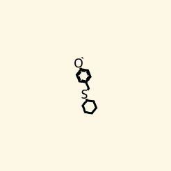 COc1ccc(CSC2CCCCC2)cc1